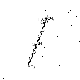 CC(C)(C)OC(=O)CCOCCOCCNC(=O)CCOCCOCCN